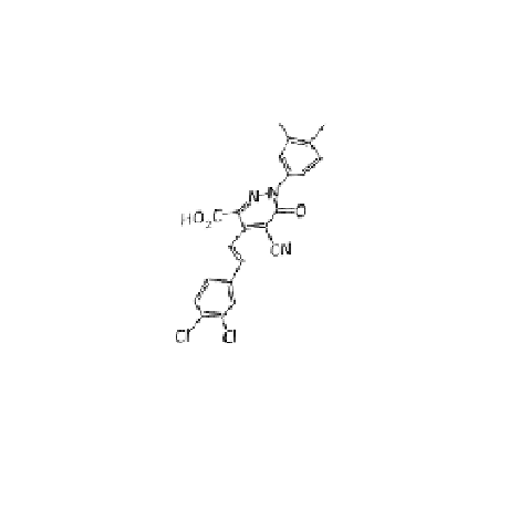 Cc1ccc(-n2nc(C(=O)O)c(/C=C/c3ccc(Cl)c(Cl)c3)c(C#N)c2=O)cc1C